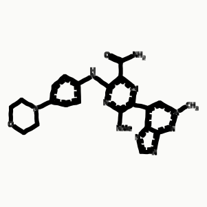 CNc1nc(Nc2ccc(N3CCOCC3)cc2)c(C(N)=O)nc1-c1cn(C)nc2ncnc1-2